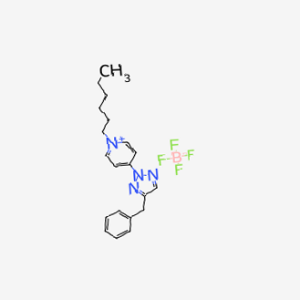 CCCCCC[n+]1ccc(-n2ncc(Cc3ccccc3)n2)cc1.F[B-](F)(F)F